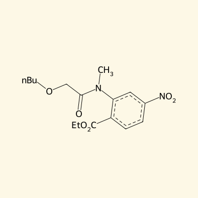 CCCCOCC(=O)N(C)c1cc([N+](=O)[O-])ccc1C(=O)OCC